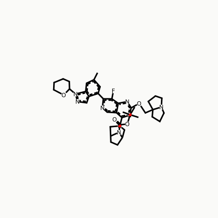 Cc1cc(-c2ncc3c(N4CC5CCC(C4)N5C(=O)OC(C)(C)C)nc(OCC45CCCN4CCC5)nc3c2F)c2cnn(C3CCCCO3)c2c1